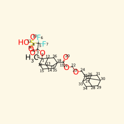 CC1(OC(=O)C(F)(F)S(=O)(=O)O)C2CC3CC1CC(C(=O)OCOCC1C4CC5CC(C4)CC1C5)(C3)C2